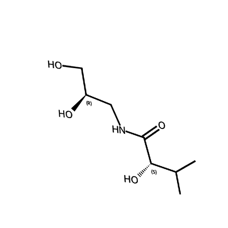 CC(C)[C@H](O)C(=O)NC[C@@H](O)CO